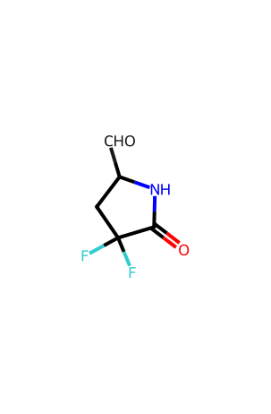 O=CC1CC(F)(F)C(=O)N1